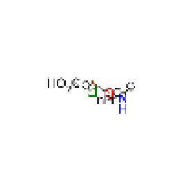 CCCc1c(OCCCCSc2ccc(CC(=O)O)cc2Cl)ccc2c(-c3ccccc3)c[nH]c12